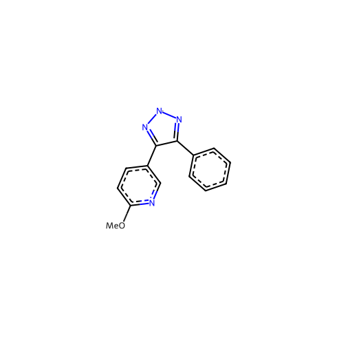 COc1ccc(C2=N[N]N=C2c2ccccc2)cn1